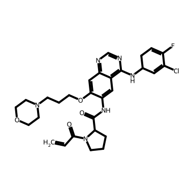 C=CC(=O)N1CCCC1C(=O)Nc1cc2c(NC3C=C(Cl)C(F)=CC3)ncnc2cc1OCCCN1CCOCC1